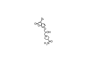 NC(=O)C1CCN(CC(O)COc2ccc3c(C4CC4)cc(=O)oc3c2)CC1